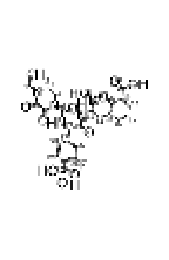 CCN1CCN(C(=O)NC(C(=O)NC2Cc3cccc(C(=O)O)c3OB2O)c2ccc(P(=O)(O)O)c(F)c2)C(=O)C1=O